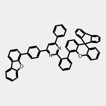 c1ccc(-c2cc(-c3ccc(-c4cccc5c4oc4ccccc45)cc3)nc(-c3ccccc3-c3cccc4c3Oc3ccccc3C43c4ccccc4-c4ccccc43)n2)cc1